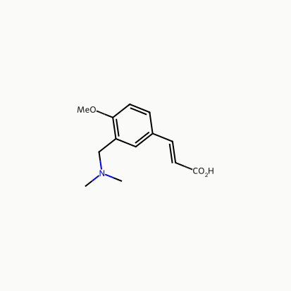 COc1ccc(C=CC(=O)O)cc1CN(C)C